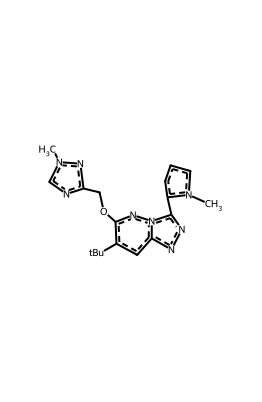 Cn1cnc(COc2nn3c(-c4cccn4C)nnc3cc2C(C)(C)C)n1